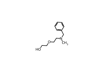 CN(CCOCCO)Cc1ccccc1